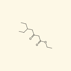 CCOC(=O)CC(=O)CC(CC)CC